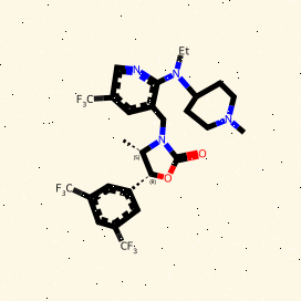 CCN(c1ncc(C(F)(F)F)cc1CN1C(=O)O[C@H](c2cc(C(F)(F)F)cc(C(F)(F)F)c2)[C@@H]1C)C1CCN(C)CC1